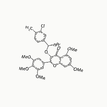 [CH2]CCC(Oc1c(-c2cc(OC)c(OC)c(OC)c2)oc2cc(OC)cc(OC)c2c1=O)c1ccc([CH2])c(Cl)c1